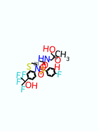 C[C@](O)(CO)CNC(=O)C[C@H]1CSc2cc(C(O)(CF)C(F)(F)F)ccc2N1S(=O)(=O)c1ccc(F)cc1